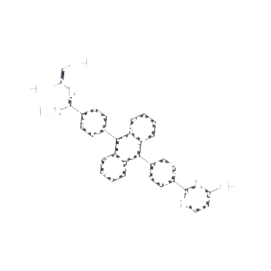 C/C=C(C)\N=C(/N)c1ccc(-c2c3ccccc3c(-c3ccc(-c4nccc(C)n4)cc3)c3ccccc23)cc1